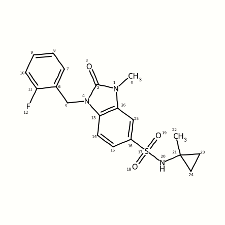 Cn1c(=O)n(Cc2ccccc2F)c2ccc(S(=O)(=O)NC3(C)CC3)cc21